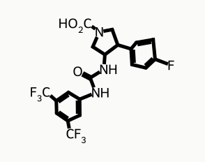 O=C(Nc1cc(C(F)(F)F)cc(C(F)(F)F)c1)NC1CN(C(=O)O)CC1c1ccc(F)cc1